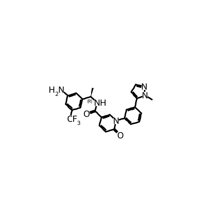 C[C@@H](NC(=O)c1ccc(=O)n(-c2cccc(-c3ccnn3C)c2)c1)c1cc(N)cc(C(F)(F)F)c1